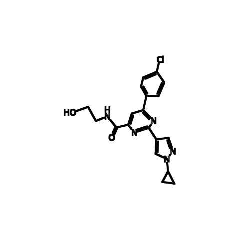 O=C(NCCO)c1cc(-c2ccc(Cl)cc2)nc(-c2cnn(C3CC3)c2)n1